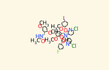 COc1ccc(OC)c(CNC(C)=O)c1.COc1ccc(OC)c(C[N+](C(C)=O)(c2ccc(Cl)nc2Oc2ccc(F)cc2)c2ccc(Cl)nc2Oc2ccc(I)cc2)c1